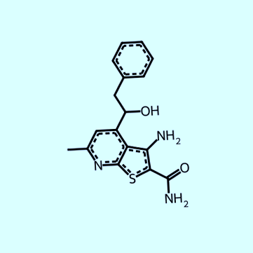 Cc1cc(C(O)Cc2ccccc2)c2c(N)c(C(N)=O)sc2n1